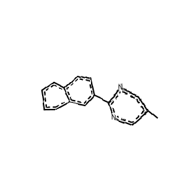 Cc1cnc(-c2ccc3ccccc3c2)nc1